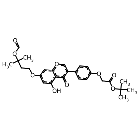 CC(C)(C)OC(=O)COc1ccc(-c2coc3cc(OCCC(C)(C)OC=O)cc(O)c3c2=O)cc1